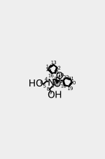 O=P(CN(CCO)CCO)(Oc1ccccc1)c1ccccc1